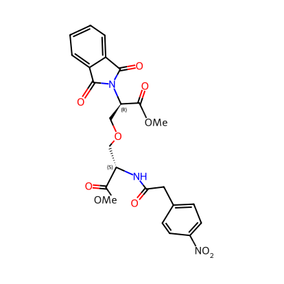 COC(=O)[C@H](COC[C@H](C(=O)OC)N1C(=O)c2ccccc2C1=O)NC(=O)Cc1ccc([N+](=O)[O-])cc1